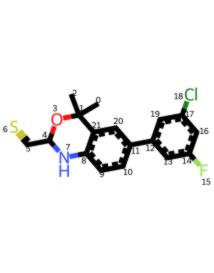 CC1(C)OC(C=S)Nc2ccc(-c3cc(F)cc(Cl)c3)cc21